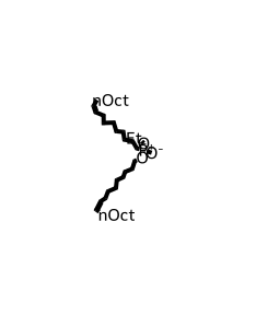 CCCCCCCC/C=C\CCCCCCCCO[P+]([O-])(CCCCCCCC/C=C\CCCCCCCC)OCC